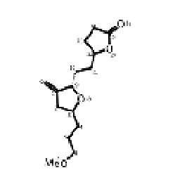 C=C1CC(CCCOC)O[C@H]1CCC1CCC(=O)O1